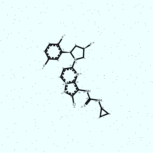 Fc1ccc(F)c([C@H]2C[C@@H](F)CN2c2ccn3nc(Cl)c(NC(=S)NC4CC4)c3n2)c1